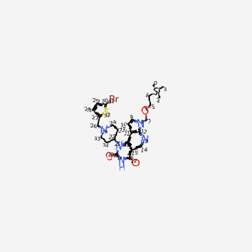 C[Si](C)(C)CCOCn1ccc2c1ncc1c(=O)[nH]c(=O)n(C3CCN(Cc4ccc(Br)s4)CC3)c12